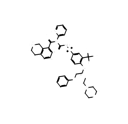 O=C(NS(=O)(=O)c1ccc(N[C@H](CCN2CCOCC2)CSc2ccccc2)c(C(F)(F)F)c1)N(C(=O)c1cccc2c1CNCC2)c1ccccn1